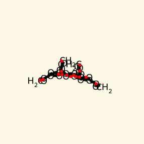 C=CC(=O)OCCCCOC(=O)C1CCC(C(=O)Oc2ccc(OC(=O)C3CCC(C(=O)Oc4ccc(OC(=O)C5CCC(C(=O)OCCCCOC(=O)C=C)CC5)c(C(=O)OCCOC(=O)C=C)c4)CC3)cc2C(=O)OCCOC(=O)C=C)CC1